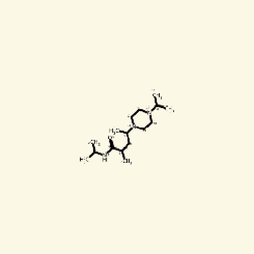 CC(C)NC(=O)C(C)CC(C)N1CCN(C(C)C)CC1